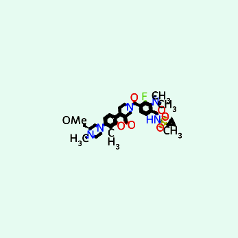 COC[C@H]1CN(c2ccc3c4c(c(=O)oc3c2C)CN(C(=O)c2ccc(C(=O)NS(=O)(=O)C3(C)CC3)c(N(C)C)c2F)CC4)CCN1C